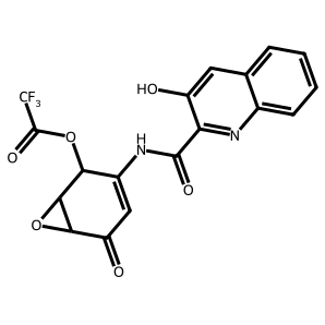 O=C(NC1=CC(=O)C2OC2C1OC(=O)C(F)(F)F)c1nc2ccccc2cc1O